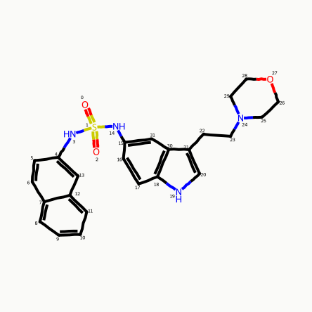 O=S(=O)(Nc1ccc2ccccc2c1)Nc1ccc2[nH]cc(CCN3CCOCC3)c2c1